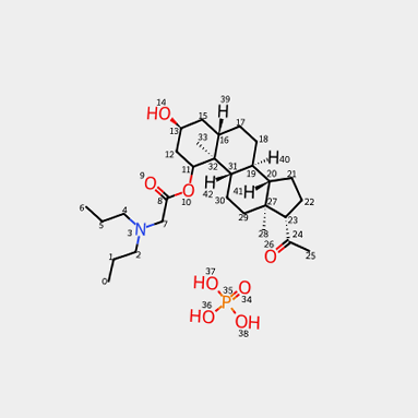 CCCN(CCC)CC(=O)OC1C[C@@H](O)C[C@@H]2CC[C@H]3[C@@H]4CC[C@H](C(C)=O)[C@@]4(C)CC[C@@H]3[C@@]12C.O=P(O)(O)O